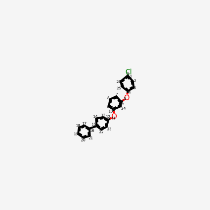 Clc1ccc(Oc2cccc(Oc3ccc(-c4ccccc4)cc3)c2)cc1